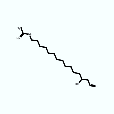 N=C(N)NCCCCCCCCCCCCC(O)C[C]=O